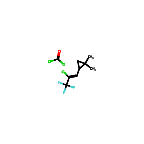 CC1(C)CC1/C=C(\Cl)C(F)(F)F.O=C(Cl)Cl